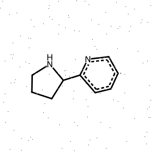 [c]1ccc(C2CCCN2)nc1